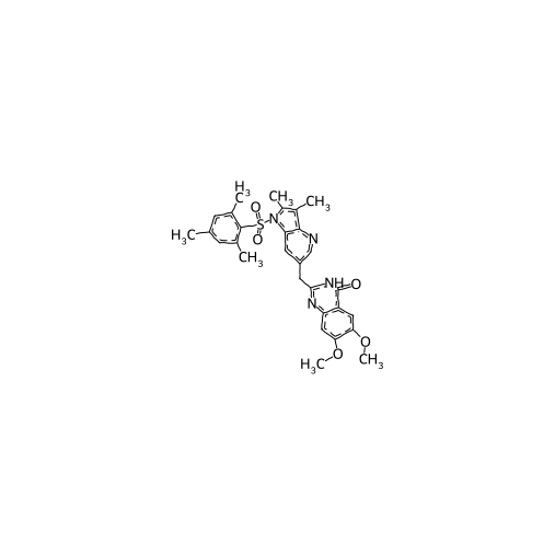 COc1cc2nc(Cc3cnc4c(C)c(C)n(S(=O)(=O)c5c(C)cc(C)cc5C)c4c3)[nH]c(=O)c2cc1OC